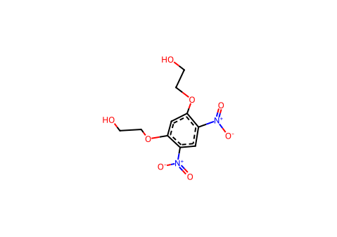 O=[N+]([O-])c1cc([N+](=O)[O-])c(OCCO)cc1OCCO